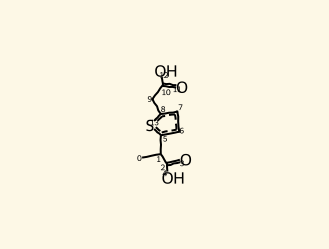 CC(C(=O)O)c1ccc(CC(=O)O)s1